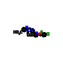 COCCn1c(CN2CCC(c3cccc(OCc4ccc(Cl)cc4F)n3)CC2)nc2ccc(C(=O)O)cc21